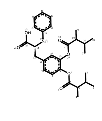 CC(C)C(C)C(=O)Oc1ccc(C[C@H](Nc2ccccc2)C(=O)O)cc1OC(=O)C(C)C(C)C